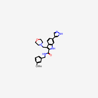 COc1cccc(CNC(=O)c2[nH]c3cc(-c4cn[nH]c4)ccc3c2CN2CCOCC2)c1